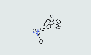 c1ccc(-c2cc(-c3ccc(-c4ccc5c6c(cccc46)-c4c-5c(-c5ccccc5)c5ccccc5c4-c4ccccc4)cc3)nc(-c3ccccn3)n2)cc1